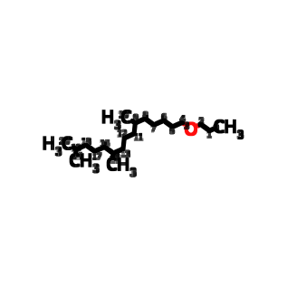 CCCOCCCCCC(C)CCCC(C)CCCC(C)C